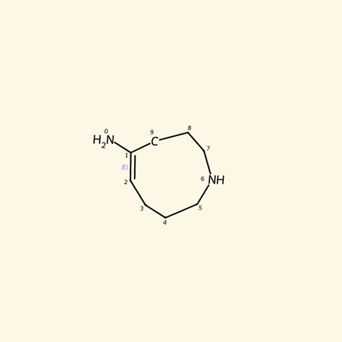 N/C1=C/CCCNCCC1